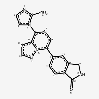 Nc1nccn1-c1ncc(-c2ccc3c(c2)CNC3=O)n2ncnc12